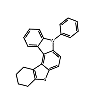 c1ccc(-n2c3ccccc3c3c4c5c(sc4ccc32)CCCC5)cc1